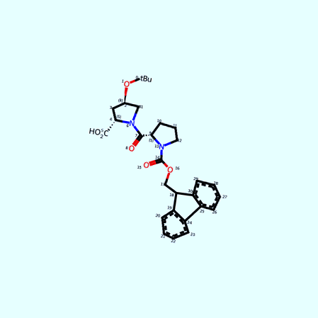 CC(C)(C)O[C@@H]1C[C@@H](C(=O)O)N(C(=O)[C@@H]2CCCN2C(=O)OCC2c3ccccc3-c3ccccc32)C1